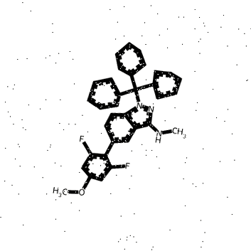 CNc1nn(C(c2ccccc2)(c2ccccc2)c2ccccc2)c2ccc(-c3c(F)cc(OC)cc3F)cc12